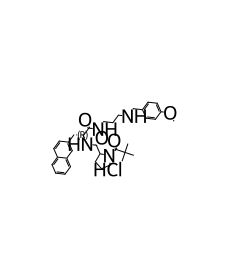 COc1ccc(CNCCCNC(=O)[C@@H](Cc2ccc3ccccc3c2)NC(=O)C2CCCN2C(=O)C(C)(C)C)cc1.Cl